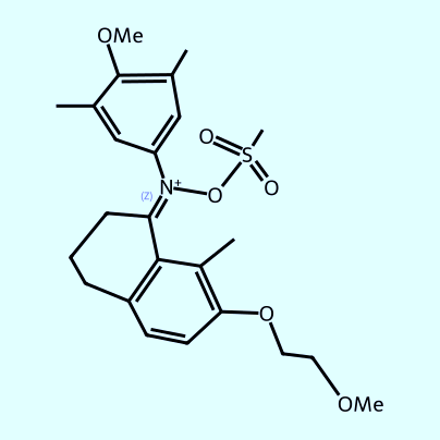 COCCOc1ccc2c(c1C)/C(=[N+](\OS(C)(=O)=O)c1cc(C)c(OC)c(C)c1)CCC2